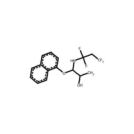 CC(O)C(NC(F)(F)CC(F)(F)F)Oc1cccc2ccccc12